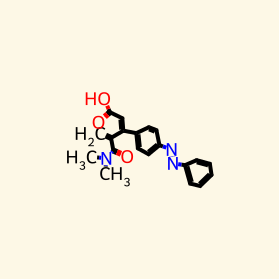 C=C(C(=O)N(C)C)C(=CC(=O)O)c1ccc(N=Nc2ccccc2)cc1